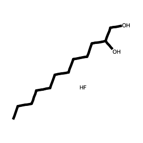 CCCCCCCCCCC(O)CO.F